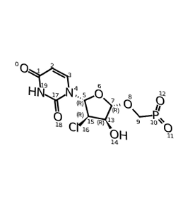 O=c1ccn([C@@H]2O[C@H](OCP(=O)=O)[C@@H](O)[C@H]2Cl)c(=O)[nH]1